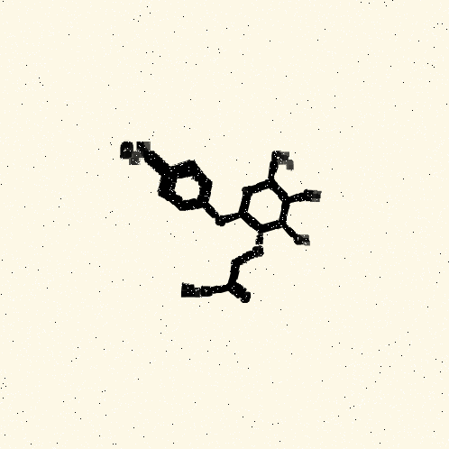 COC(=O)CO[C@@H]1[C@@H](Oc2ccc([N+](=O)[O-])cc2)O[C@@H](C)[C@@H](O)[C@H]1O